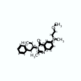 CC[C@H](Cc1ccccc1)n1c(C)nc2ccc(N(C)CCOC)cc2c1=O